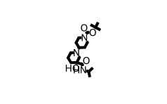 CC(C)NC(=O)C1(O)CCCN(C2CCN(C(=O)OC(C)(C)C)CC2)C1